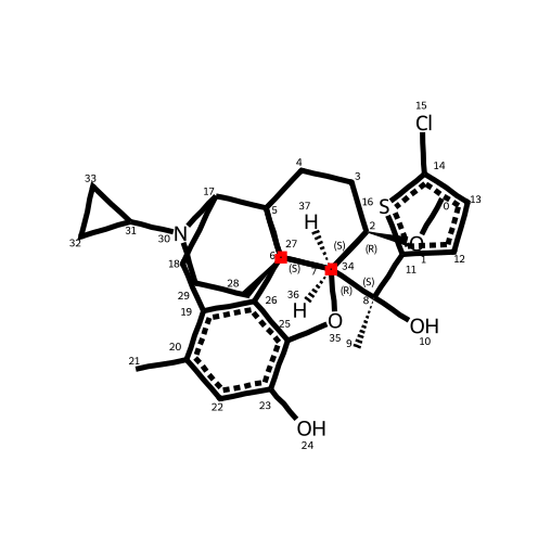 CO[C@]12CCC3(C[C@@H]1[C@](C)(O)c1ccc(Cl)s1)C1Cc4c(C)cc(O)c5c4[C@@]3(CCN1C1CC1)[C@@H]2O5